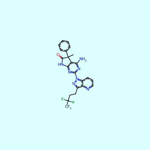 CC1(c2ccccc2)C(=O)Nc2nc(-n3nc(CCC(F)(F)C(F)(F)F)c4ncccc43)nc(N)c21